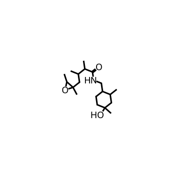 CC1CC(C)(O)CCC1CNC(=O)C(C)C(C)CC1(C)OC1C